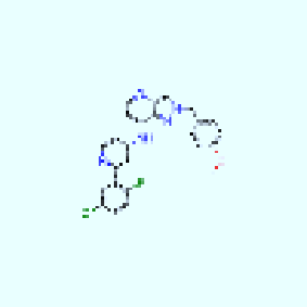 COc1ccc(Cn2cc3nccc(Nc4ccnc(-c5cc(Cl)ccc5F)c4)c3n2)cc1